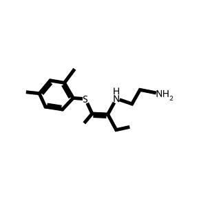 CC/C(NCCN)=C(\C)Sc1ccc(C)cc1C